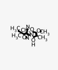 CCC(C)(C)c1onc(N2C(=O)C(OC)=C(C)C2O)c1C#N